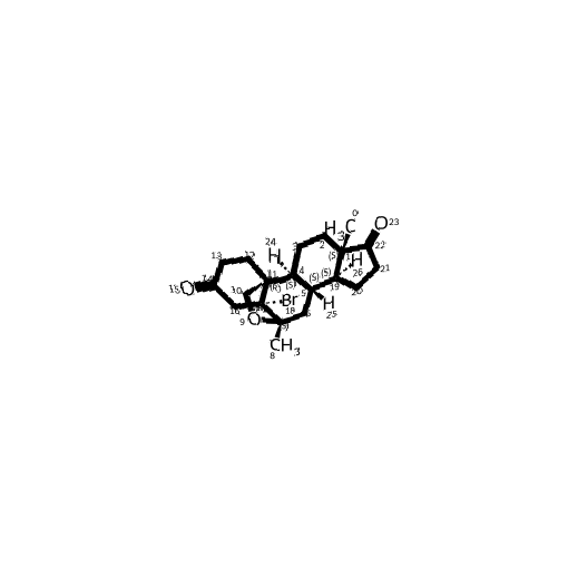 C[C@]12CC[C@H]3[C@@H](C[C@]4(C)OC[C@@]35CCC(=O)C[C@@]54Br)[C@@H]1CCC2=O